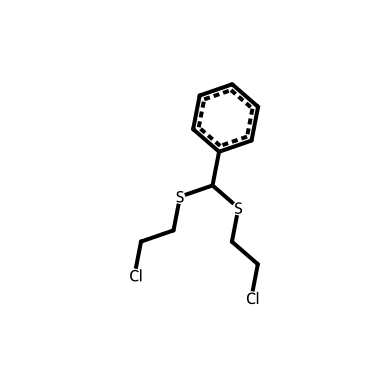 ClCCSC(SCCCl)c1ccccc1